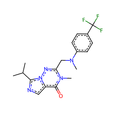 CC(C)c1ncc2c(=O)n(C)c(CN(C)c3ccc(C(F)(F)F)cc3)nn12